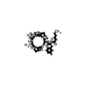 CCC/C=C/C(=O)N[C@@H](Cc1cccc(F)c1)C(=O)N[C@H]1COC(=O)[C@@H]2CCCN2C(=O)[C@H](C)NC(=O)[C@H](C)N(C)C(=O)[C@@H]2CCCN2C1=O